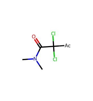 CC(=O)C(Cl)(Cl)C(=O)N(C)C